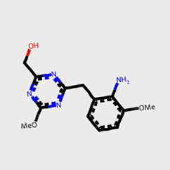 COc1nc(CO)nc(Cc2cccc(OC)c2N)n1